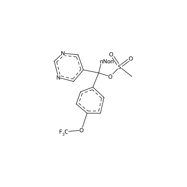 CCCCCCCCCC(OS(C)(=O)=O)(c1ccc(OC(F)(F)F)cc1)c1cncnc1